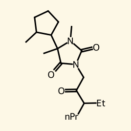 CCCC(CC)C(=O)CN1C(=O)N(C)C(C)(C2CCCC2C)C1=O